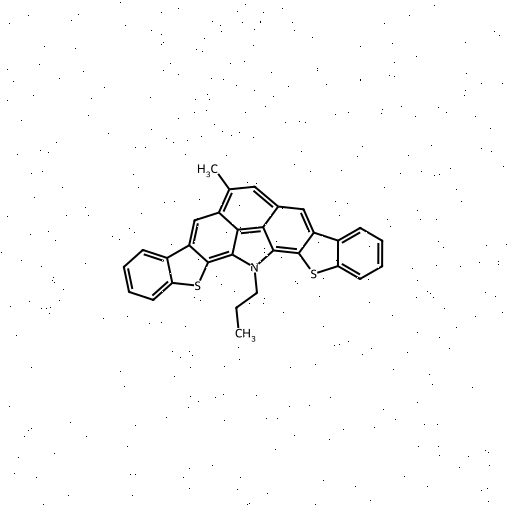 CCCn1c2c3sc4ccccc4c3cc3cc(C)c4cc5c6ccccc6sc5c1c4c32